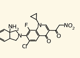 NC12C=CC=CC1CN(c1c(Cl)cc3c(=O)c(C(=O)C[N+](=O)[O-])cn(C4CC4)c3c1F)C2